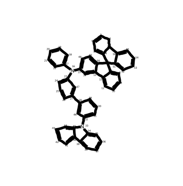 C1=CCC2C(=C1)C1(c3ccccc3-c3cc(N(c4ccccc4)c4cccc(-c5cccc(-n6c7ccccc7c7ccccc76)c5)c4)ccc31)c1ccccc12